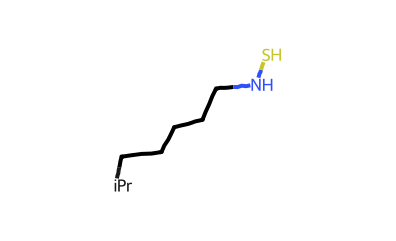 CC(C)CCCCCNS